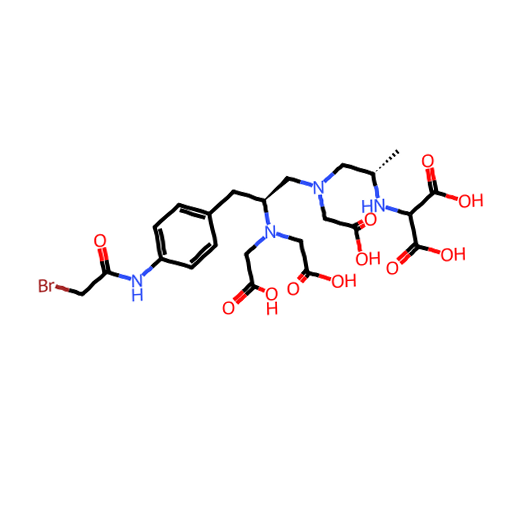 C[C@@H](CN(CC(=O)O)C[C@H](Cc1ccc(NC(=O)CBr)cc1)N(CC(=O)O)CC(=O)O)NC(C(=O)O)C(=O)O